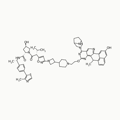 Cc1ncsc1-c1ccc([C@H](C)NC(=O)[C@@H]2C[C@@H](O)CN2C(=O)[C@@H](c2cc(N3CC(C4CCN(CCOc5nc(N6CC7CCC(C6)N7)c6cnc7c(c6n5)C(C)c5cccc6cc(O)cc-7c56)CC4)C3)no2)C(C)C)cc1